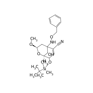 CO[C@H]1CC2(NOCc3ccccc3)C(C#N)=CC(O[Si](C)(C)C(C)(C)C)[C@@H](O1)C2O